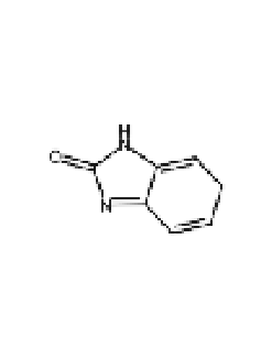 O=C1N=C2C=CCC=C2N1